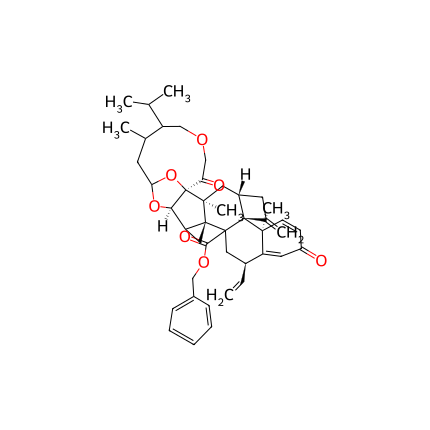 C=C[C@H]1CC2(C(=O)OCc3ccccc3)[C@]34CC3[C@H]3OC5CC(C)C(C(C)C)COCC(=O)[C@]3(O5)[C@@]4(C)C[C@@H]3CC(=C)[C@]32[C@@]2(C)C=CC(=O)C=C12